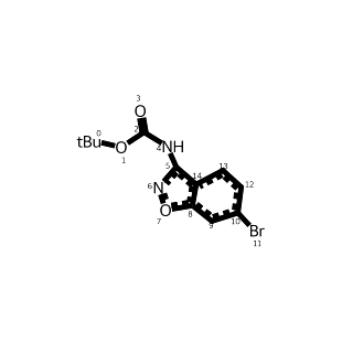 CC(C)(C)OC(=O)Nc1noc2cc(Br)ccc12